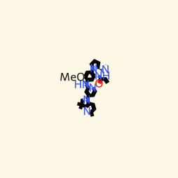 C=CC(=O)Nc1cc(Nc2cc(N3CC(C)(C)c4nc(C)ccc43)ccn2)c(OC)cc1N1CCC[C@@H]1CN(C)C